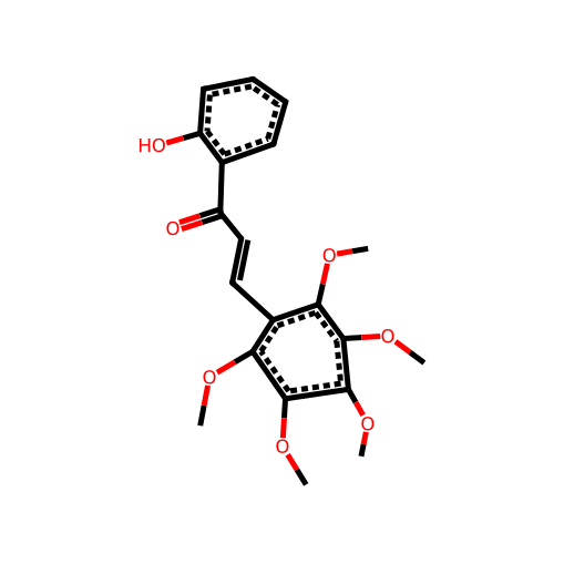 COc1c(C=CC(=O)c2ccccc2O)c(OC)c(OC)c(OC)c1OC